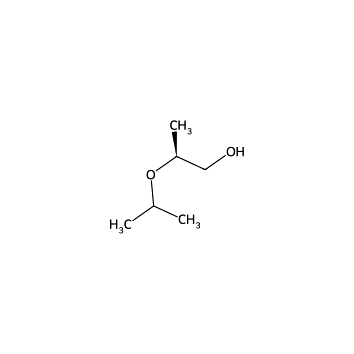 CC(C)O[C@@H](C)CO